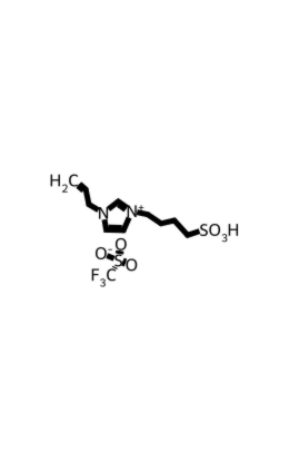 C=CCn1cc[n+](CCCCS(=O)(=O)O)c1.O=S(=O)([O-])C(F)(F)F